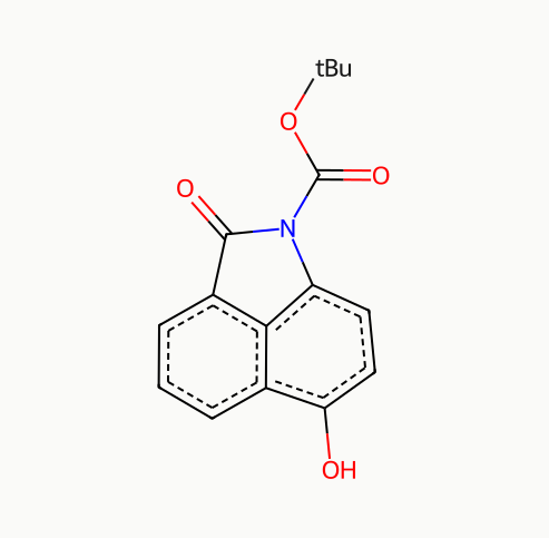 CC(C)(C)OC(=O)N1C(=O)c2cccc3c(O)ccc1c23